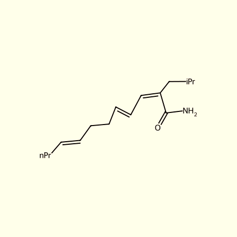 CCCC=CCCC=CC=C(CC(C)C)C(N)=O